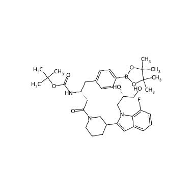 CC(C)(C)OC(=O)N[C@@H](CC(=O)N1CCCC(c2cc3cccc(F)c3n2C[C@H](O)CO)C1)Cc1ccc(B2OC(C)(C)C(C)(C)O2)cc1